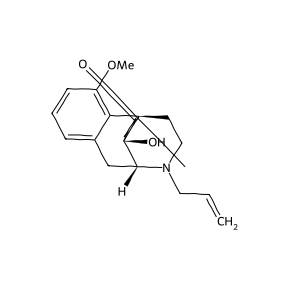 C=CCN1CC[C@]23CC(=O)CC[C@@]2(O)[C@H]1Cc1cccc(OC)c13